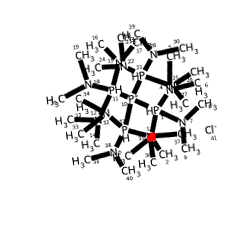 CN(C)[PH](N(C)C)(N(C)C)[P+]([PH](N(C)C)(N(C)C)N(C)C)([PH](N(C)C)(N(C)C)N(C)C)[PH](N(C)C)(N(C)C)N(C)C.[Cl-]